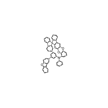 c1ccc(N(c2cccc(-c3ccc4oc5ccccc5c4c3)c2)c2cccc3c2Oc2cc4c(cc2O3)-c2ccccc2C42c3ccccc3-c3ccccc32)cc1